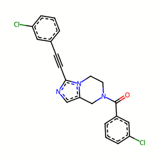 O=C(c1cccc(Cl)c1)N1CCn2c(cnc2C#Cc2cccc(Cl)c2)C1